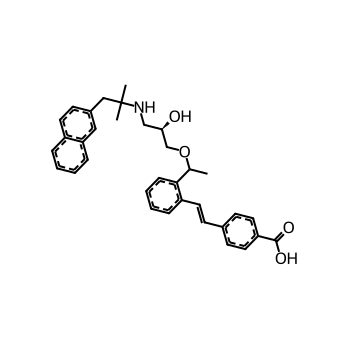 CC(OC[C@H](O)CNC(C)(C)Cc1ccc2ccccc2c1)c1ccccc1C=Cc1ccc(C(=O)O)cc1